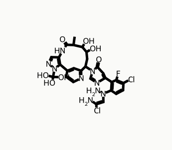 CC1C(=O)Nc2cnn(C(O)(O)O)c2-c2ccnc(c2)C(n2cnc(-c3c(N(N)/C=C(\N)Cl)ccc(Cl)c3F)cc2=O)CC(O)C1O